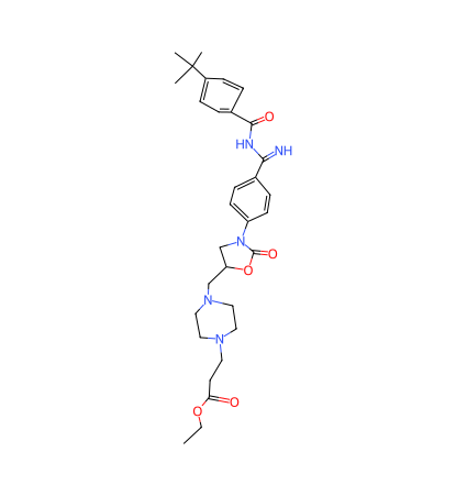 CCOC(=O)CCN1CCN(CC2CN(c3ccc(C(=N)NC(=O)c4ccc(C(C)(C)C)cc4)cc3)C(=O)O2)CC1